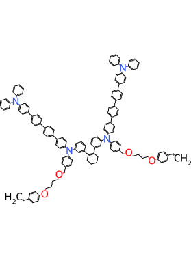 C=Cc1ccc(OCCCCOCc2ccc(N(c3ccc(-c4ccc(-c5ccc(-c6ccc(N(c7ccccc7)c7ccccc7)cc6)cc5)cc4)cc3)c3cccc(C4=C(c5cccc(N(c6ccc(COCCCCOc7ccc(C=C)cc7)cc6)c6ccc(-c7ccc(-c8ccc(-c9ccc(N(c%10ccccc%10)c%10ccccc%10)cc9)cc8)cc7)cc6)c5)CCCC4)c3)cc2)cc1